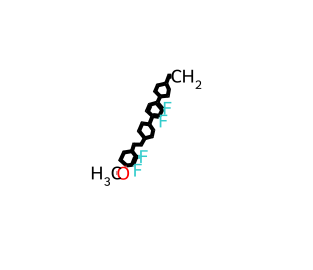 C=CC1CCC(c2ccc(C3CCC(CCC4CCC(OC)C(F)=C4F)CC3)c(F)c2F)CC1